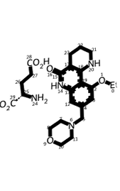 CCOc1cc(CN2CCOCC2)cc2[nH]c(=O)c3c(c12)NCCC3.N[C@@H](CCC(=O)O)C(=O)O